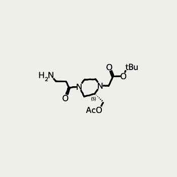 CC(=O)OC[C@@H]1CN(C(=O)CCN)CCN1CC(=O)OC(C)(C)C